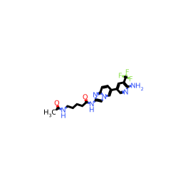 CC(=O)NCCCCC(=O)Nc1cn2cc(-c3cnc(N)c(C(F)(F)F)c3)ccc2n1